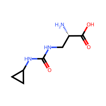 N[C@@H](CNC(=O)NC1CC1)C(=O)O